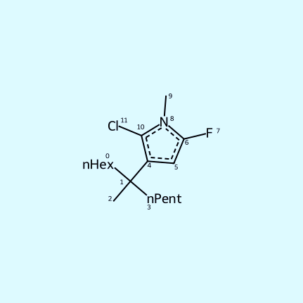 CCCCCCC(C)(CCCCC)c1cc(F)n(C)c1Cl